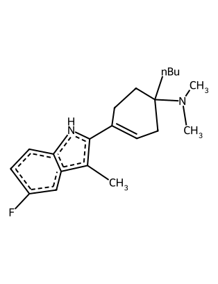 CCCCC1(N(C)C)CC=C(c2[nH]c3ccc(F)cc3c2C)CC1